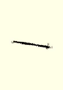 O=C(CCCCCCCCCCCCCCCCCCCCCCCCCCCCCCCCCCCCCCl)NO